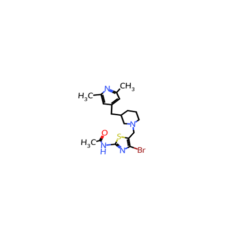 CC(=O)Nc1nc(Br)c(CN2CCCC(Cc3cc(C)nc(C)c3)C2)s1